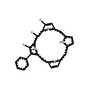 FC1=Cc2cc3ccc(cc4nc(cc5c(-c6ccccc6)c(F)c(c(F)c1n2)n5F)C=C4)[nH]3